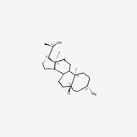 C[C@@H](O)[C@H]1CCC2C3CC[C@H]4C[C@@H](O)CC[C@]4(C)C3CC[C@@]21C